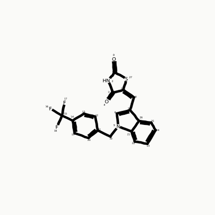 O=C1NC(=O)C(=Cc2cn(Cc3ccc(C(F)(F)F)cc3)c3ccccc23)S1